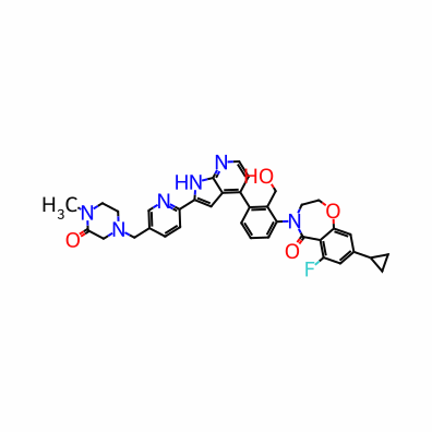 CN1CCN(Cc2ccc(-c3cc4c(-c5cccc(N6CCOc7cc(C8CC8)cc(F)c7C6=O)c5CO)ccnc4[nH]3)nc2)CC1=O